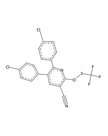 N#Cc1cc(-c2ccc(Cl)cc2)c(-c2ccc(Cl)cc2)nc1OSC(F)(F)F